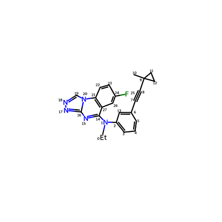 CCN(c1cccc(C#CC2(C)CC2)c1)c1nc2nncn2c2ccc(F)cc12